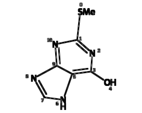 CSc1nc(O)c2[nH]cnc2n1